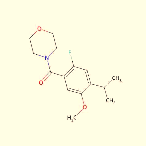 COc1cc(C(=O)N2CCOCC2)c(F)cc1C(C)C